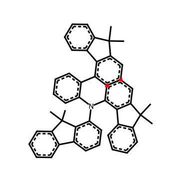 CC1(C)c2ccccc2-c2c(-c3ccccc3N(c3cccc4c3-c3ccccc3C4(C)C)c3cccc4c3C(C)(C)c3ccccc3-4)cccc21